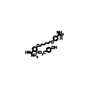 N=C(N)c1ccc(OCCCCCCOc2ccc(C(=N)N)cc2)cc1.O=C(O)c1ccc(O)cc1